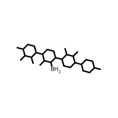 BC1C(C)C(C2CCC(C)C(C)C2C)CCC1C1CCC(C2CCC(C)CC2)C(C)C1C